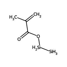 C=C(C)C(=O)O[SiH2][SiH3]